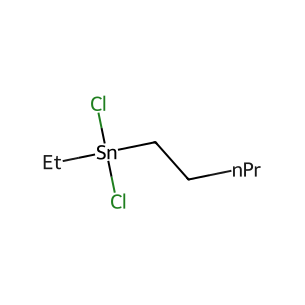 CCCC[CH2][Sn]([Cl])([Cl])[CH2]C